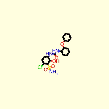 NS(=O)(=O)c1c(Cl)ccc(NC(=O)Nc2ccccc2Oc2ccccc2)c1O